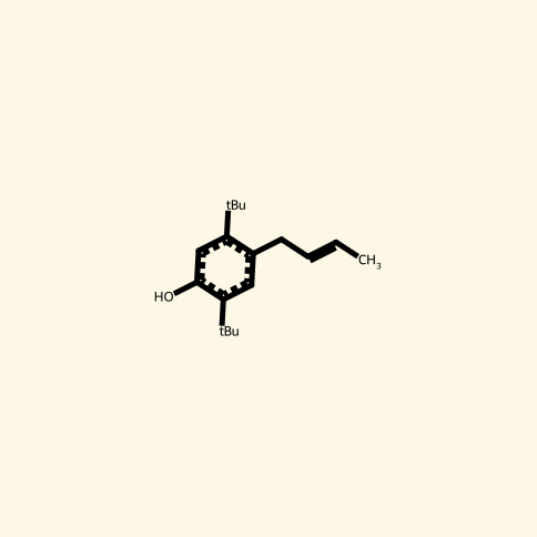 C/C=C/Cc1cc(C(C)(C)C)c(O)cc1C(C)(C)C